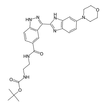 CC(C)(C)OC(=O)NCCNC(=O)c1ccc2[nH]nc(-c3nc4ccc(N5CCOCC5)cc4[nH]3)c2c1